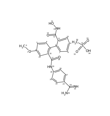 COc1ccc(-c2ccccc2C(=O)NO)c(C(=O)Nc2ccc(C(=N)N)cc2)c1.CS(=O)(=O)O